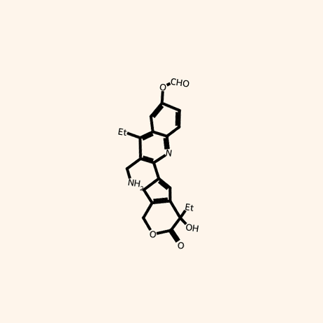 CCc1c(CN)c(C2=CC3=C(COC(=O)C3(O)CC)C2)nc2ccc(OC=O)cc12